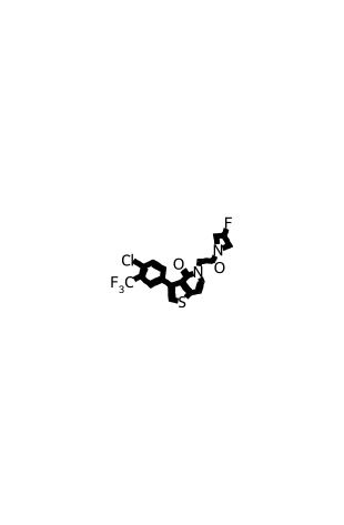 O=C(Cn1ccc2scc(-c3ccc(Cl)c(C(F)(F)F)c3)c2c1=O)N1CC(F)C1